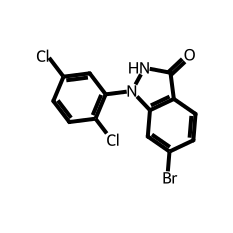 O=c1[nH]n(-c2cc(Cl)ccc2Cl)c2cc(Br)ccc12